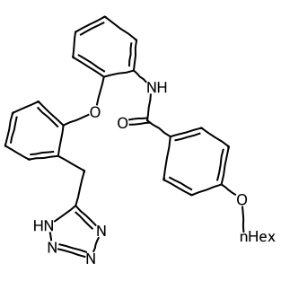 CCCCCCOc1ccc(C(=O)Nc2ccccc2Oc2ccccc2Cc2nnn[nH]2)cc1